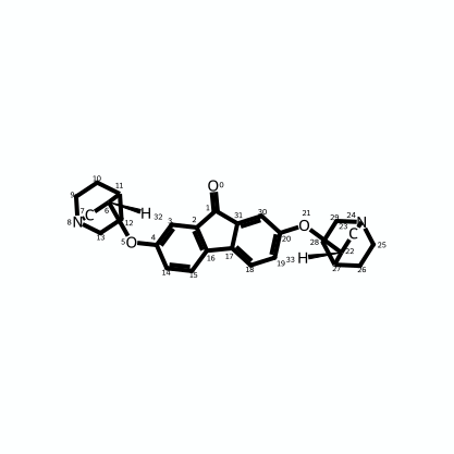 O=C1c2cc(O[C@@H]3CN4CCC3CC4)ccc2-c2ccc(O[C@@H]3CN4CCC3CC4)cc21